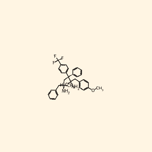 COc1ccc(CC(C)(N)C(CC(C)(N)Cc2ccccc2)(c2ccccc2)c2ccc(C(F)(F)F)cc2)cc1